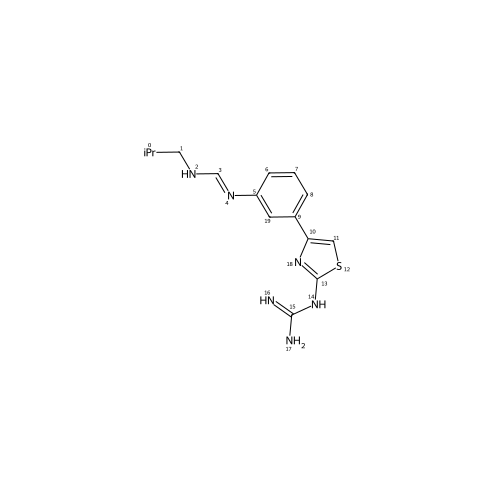 CC(C)CN/C=N/c1cccc(-c2csc(NC(=N)N)n2)c1